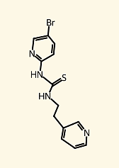 S=C(NCCc1cccnc1)Nc1ccc(Br)cn1